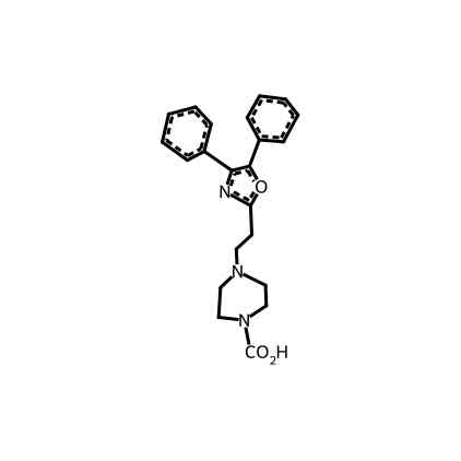 O=C(O)N1CCN(CCc2nc(-c3ccccc3)c(-c3ccccc3)o2)CC1